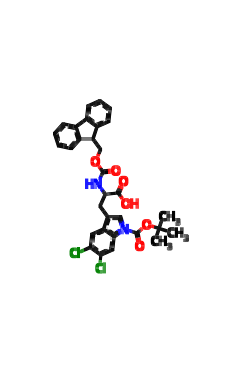 CC(C)(C)OC(=O)n1cc(CC(NC(=O)OCC2c3ccccc3-c3ccccc32)C(=O)O)c2cc(Cl)c(Cl)cc21